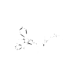 CC(OC(=O)NCCCN)[n+]1cnn(C[C@](O)(c2ccc(F)cc2F)[C@@H](C)c2ncncc2F)c1